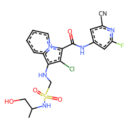 CC(CO)NS(=O)(=O)CNc1c(Cl)c(C(=O)Nc2cc(F)nc(C#N)c2)n2ccccc12